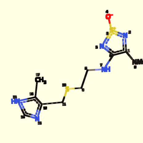 CNc1n[s+]([O-])nc1NCCSCc1nc[nH]c1C